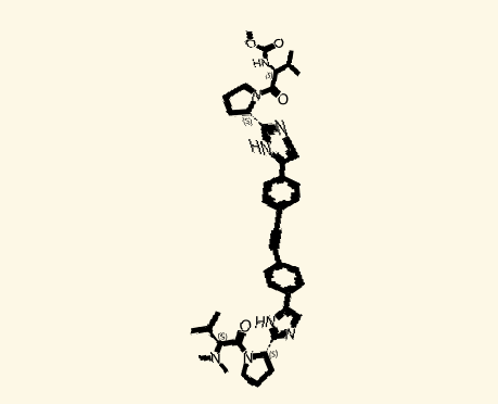 COC(=O)N[C@H](C(=O)N1CCC[C@H]1c1ncc(-c2ccc(C#Cc3ccc(-c4cnc([C@@H]5CCCN5C(=O)[C@H](C(C)C)N(C)C)[nH]4)cc3)cc2)[nH]1)C(C)C